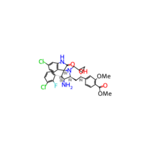 COC(=O)c1ccc([C@@H](O)C[C@H]2[C@@H](N)[C@H](c3cccc(Cl)c3F)[C@]3(C(=O)Nc4cc(Cl)ccc43)N2CC2CC2)cc1OC